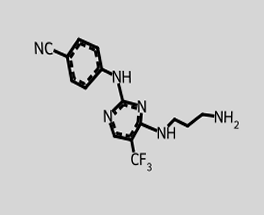 N#Cc1ccc(Nc2ncc(C(F)(F)F)c(NCCCN)n2)cc1